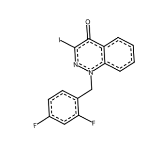 O=c1c(I)nn(Cc2ccc(F)cc2F)c2ccccc12